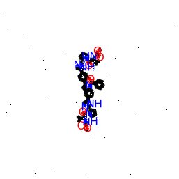 COC(=O)NC(C(=O)N1CCC[C@H]1c1ncc(-c2ccc3c(c2)cc2n3C(c3ccccc3)Oc3cc(-c4cnc([C@@H]5CCCN5C(=O)[C@@H](NC(=O)OC)C(C)C)[nH]4)ccc3-2)[nH]1)C(C)C